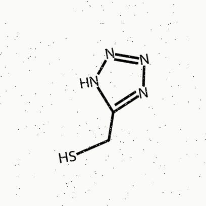 SCc1nnn[nH]1